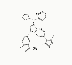 Cc1noc(C)c1-c1cnc2c(c1)c(-c1ccc(F)c(C(=O)O)c1)cn2C(c1ccccn1)C1CCCC1